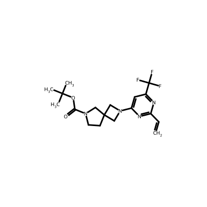 C=Cc1nc(N2CC3(CCN(C(=O)OC(C)(C)C)C3)C2)cc(C(F)(F)F)n1